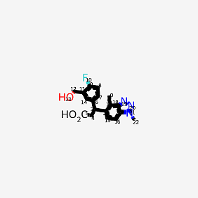 Cc1c(C(CC(=O)O)c2ccc(F)c(CO)c2)ccc2c1nnn2C